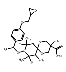 CCC1(C)CC2(OCC(C)(C(=O)OC)CO2)C(C)C(C)(CC)N1OC(C)c1ccc(OCC2CO2)cc1